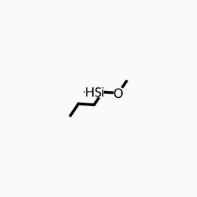 CCC[SiH]OC